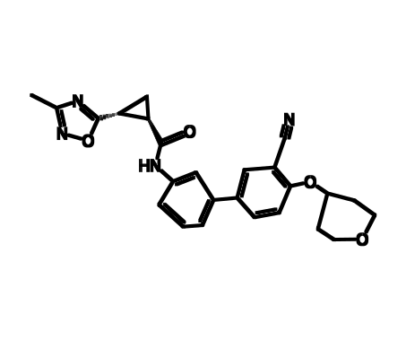 Cc1noc([C@@H]2C[C@H]2C(=O)Nc2cccc(-c3ccc(OC4CCOCC4)c(C#N)c3)c2)n1